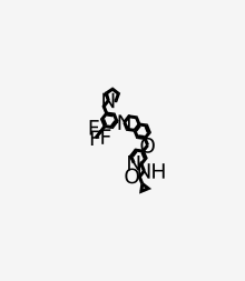 O=C(Nc1cc(Oc2ccc3c(c2)CN(c2cc(CN4CCCC4)cc(C(F)(F)F)c2)CC3)ccn1)C1CC1